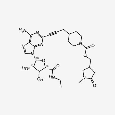 CCNC(=O)[C@H]1O[C@@H](n2cnc3c(N)nc(C#CCC4CCN(C(=O)OCC5CC(=O)N(C)C5)CC4)nc32)[C@@H](O)C1O